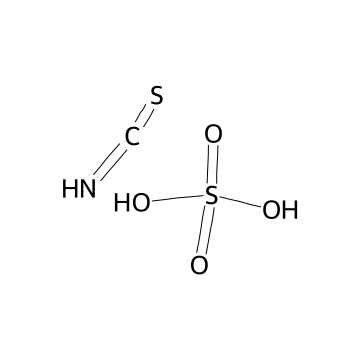 N=C=S.O=S(=O)(O)O